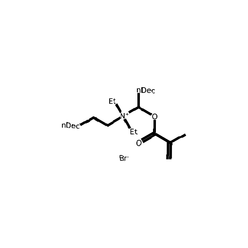 C=C(C)C(=O)OC(CCCCCCCCCC)[N+](CC)(CC)CCCCCCCCCCCC.[Br-]